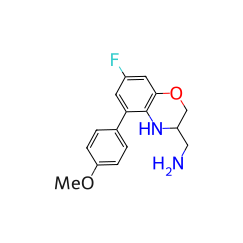 COc1ccc(-c2cc(F)cc3c2NC(CN)CO3)cc1